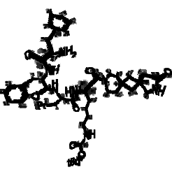 CC(C)C[C@@H](NC(=O)[C@@H](Cc1ccccc1)NC(=O)[C@H](N)Cc1ccccc1)C(=O)N[C@H](CCCCNC(=O)OC(C)(C)C)C(=O)N1CCC2(CC1)CC1(CNC(=O)C1)C2